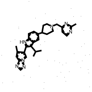 Cc1nccc(CN2CCC(c3ccc4[nH]c(-c5cn6ncnc6cc5C)c(C(C)C)c4c3)CC2)n1